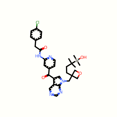 CC(C)(CCC1(Cn2cc(C(=O)c3ccnc(NC(=O)Cc4ccc(Cl)cc4)c3)c3cncnc32)COC1)[Si](C)(C)O